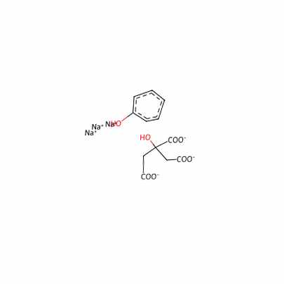 O=C([O-])CC(O)(CC(=O)[O-])C(=O)[O-].Oc1ccccc1.[Na+].[Na+].[Na+]